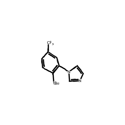 CC(C)(C)c1ccc(C(F)(F)F)cc1-n1ccnc1